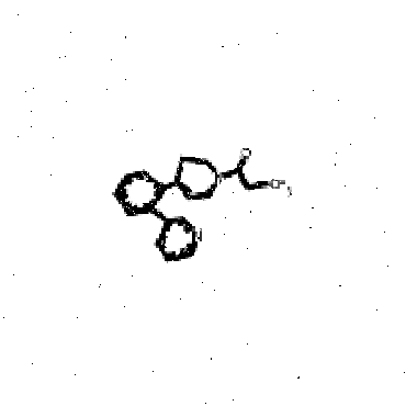 O=C(CC(F)(F)F)N1CC=C(c2cc[c]cc2-c2cccnc2)CC1